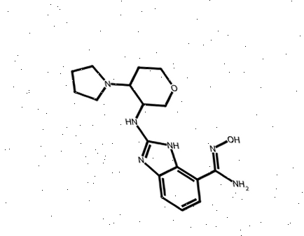 NC(=NO)c1cccc2nc(NC3COCCC3N3CCCC3)[nH]c12